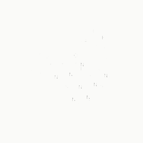 CCc1nc(Sc2nc(C(=O)Nc3cccc(C(F)(F)F)c3)cc(C3=CC=CCC3)n2)nc(N2CCN(C)CC2)n1